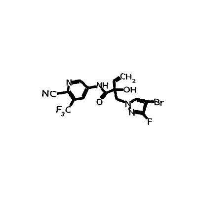 C=CC(O)(Cn1cc(Br)c(F)n1)C(=O)Nc1cnc(C#N)c(C(F)(F)F)c1